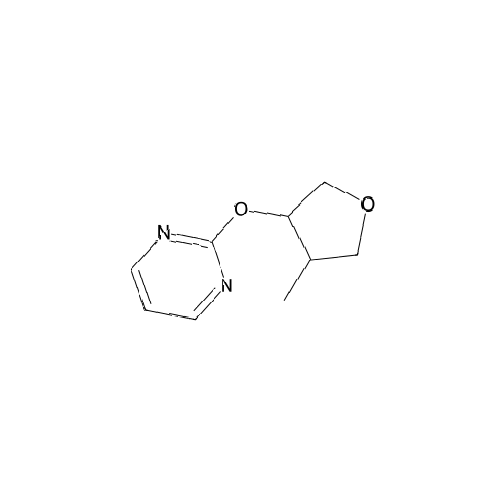 CC1COCC1Oc1ncccn1